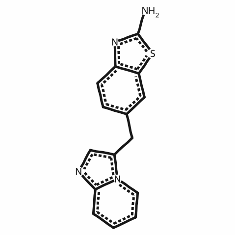 Nc1nc2ccc(Cc3cnc4ccccn34)cc2s1